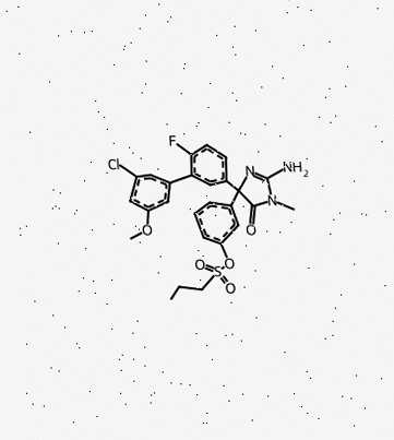 CCCS(=O)(=O)Oc1cccc(C2(c3ccc(F)c(-c4cc(Cl)cc(OC)c4)c3)N=C(N)N(C)C2=O)c1